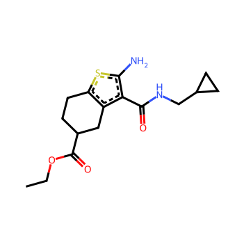 CCOC(=O)C1CCc2sc(N)c(C(=O)NCC3CC3)c2C1